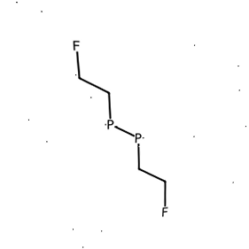 FCC[P][P]CCF